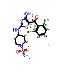 Nc1nc(NC2CCN(S(N)(=O)=O)CC2)sc1C(=O)c1c(F)cccc1F